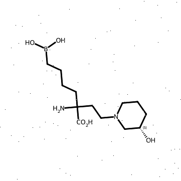 NC(CCCCB(O)O)(CCN1CCC[C@H](O)C1)C(=O)O